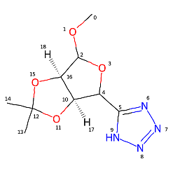 COC1OC(c2nnn[nH]2)[C@H]2OC(C)(C)O[C@@H]12